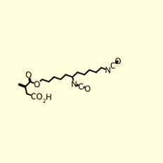 C=C(CC(=O)O)C(=O)OCCCCCC(CCCCCN=C=O)N=C=O